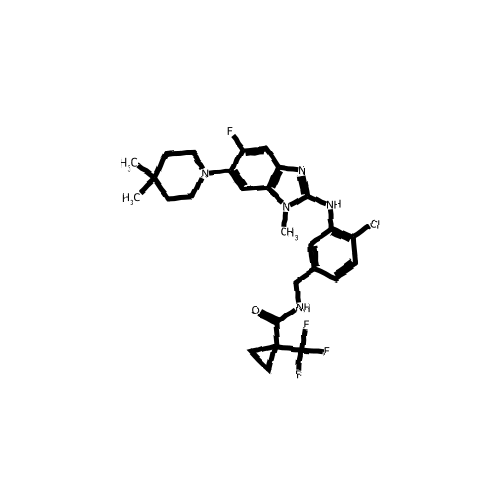 Cn1c(Nc2cc(CNC(=O)C3(C(F)(F)F)CC3)ccc2Cl)nc2cc(F)c(N3CCC(C)(C)CC3)cc21